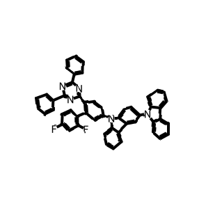 Fc1ccc(-c2cc(-n3c4ccccc4c4cc(-n5c6ccccc6c6ccccc65)ccc43)ccc2-c2nc(-c3ccccc3)nc(-c3ccccc3)n2)c(F)c1